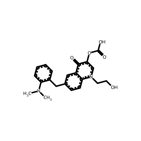 CN(C)c1ccccc1Cc1ccc2c(c1)c(=O)c(OC(=O)O)cn2CCO